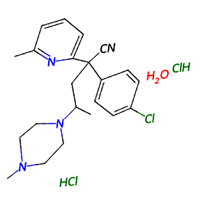 Cc1cccc(C(C#N)(CC(C)N2CCN(C)CC2)c2ccc(Cl)cc2)n1.Cl.Cl.O